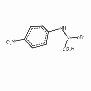 CCCN(Nc1ccc([N+](=O)[O-])cc1)C(=O)O